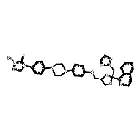 CCC(C)n1ncn(-c2ccc(N3CCN(c4ccc(OC[C@@H]5CO[C@@](Cn6nccn6)(c6nccc7ccccc67)O5)cc4)CC3)cc2)c1=O